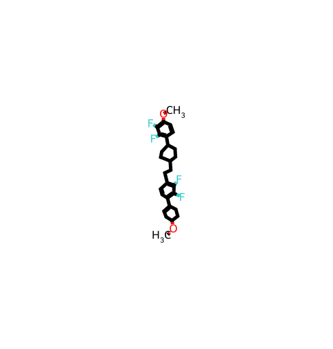 COc1ccc(C2CCC(CCc3ccc(C4=CCC(OC)CC4)c(F)c3F)CC2)c(F)c1F